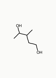 CC(O)C(C)CCO